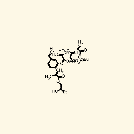 C=C(C)C(=O)OC.C=C(C)C(=O)OCC(O)CC.C=C(CC(=O)O)C(=O)O.C=CC(=O)OCCCC.C=Cc1ccccc1